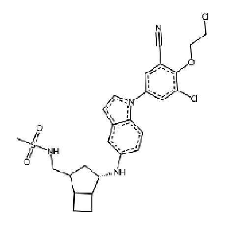 CS(=O)(=O)NCC1C[C@H](Nc2ccc3c(ccn3-c3cc(Cl)c(OCCCl)c(C#N)c3)c2)C2CCC12